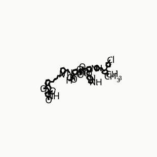 CC1(C)CCC(CN2CCN(c3ccc(C(=O)NS(=O)(=O)c4ccc(NCC5CCCN(CCCCCc6cccc7c6CN(C6CCC(=O)NC6=O)C7=O)C5)c([N+](=O)[O-])c4)c(Oc4cnc5[nH]ccc5c4)c3)CC2)=C(c2ccc(Cl)cc2)C1